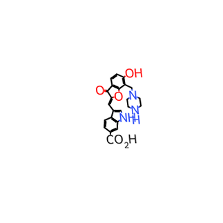 O=C(O)c1ccc2c(/C=C3\Oc4c(ccc(O)c4CN4CCNCC4)C3=O)c[nH]c2c1